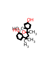 CC1(C)CC(C)(c2ccc(O)cc2C(=O)O)Oc2c(O)cccc21